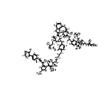 C/C(=C\C(=O)N[C@H]1CCc2cccc3c2N(C1=O)[C@H](C(=O)N[C@@H](CCC(N)=O)[C@@H](C)OCc1ccc(CCCOCC(=O)N[C@H](C(=O)N2C[C@@H](O)C[C@H]2C(=O)NCc2ccc(-c4scnc4C)cc2)C(C)(C)C)cc1)C3)c1ccc(C(F)(F)P(=O)(OCOC(=O)C(C)(C)C)OCOC(=O)C(C)(C)C)cc1